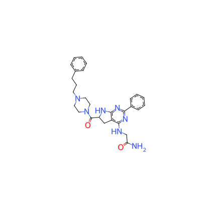 NC(=O)CNc1nc(-c2ccccc2)nc2c1CC(C(=O)N1CCN(CCCc3ccccc3)CC1)N2